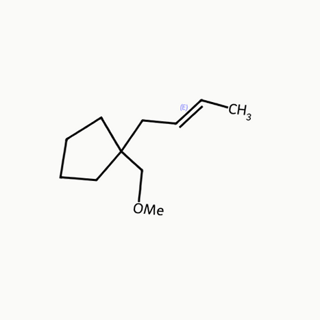 C/C=C/CC1(COC)CCCC1